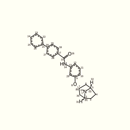 CN1[C@@H]2CC[C@H]1C[C@@H](Oc1cccc(NC(=O)c3ccc(-c4ccccc4)cc3)c1)C2